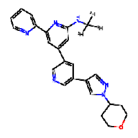 [2H]C([2H])([2H])Nc1cc(-c2cncc(-c3cnn(C4CCOCC4)c3)c2)cc(-c2ccccn2)n1